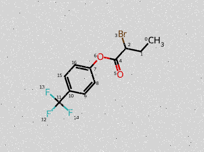 CCC(Br)C(=O)Oc1ccc(C(F)(F)F)cc1